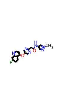 Cn1cc(NC(=O)Cc2ncc(Oc3ccnc4cc(F)ccc34)cn2)cn1